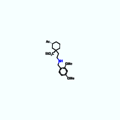 CCOC(=O)[C@]1(CCNCc2ccc(OC)cc2OC)CCC[C@@H](C(C)=O)C1